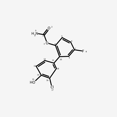 NC(=O)Oc1ccc(F)cc1-c1ccc(O)c(Cl)c1